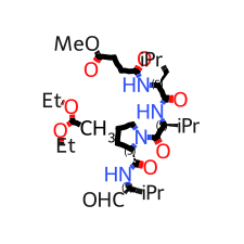 CCOC(C)OCC.COC(=O)CCC(=O)N[C@@H](CC(C)C)C(=O)N[C@H](C(=O)N1CCC[C@H]1C(=O)N[C@H](C=O)C(C)C)C(C)C